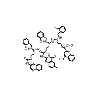 CC(=O)N(CCOC(=O)Nc1cnc2ccccc2c1)NCc1ccccc1Cl.CC(=O)N(CCOC(=O)Nc1nc2ccc(C)cc2c(=O)[nH]1)NCc1ccccc1Cl.CC(=O)N(CCON(C=O)c1cc(O)c2ccccc2n1)NCc1ccccc1Cl